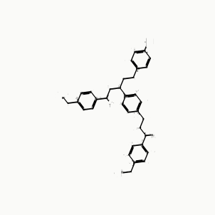 CCc1ccc(CCC(CC(Cl)c2ccc(CCl)cc2)c2ccc(CCC(Cl)c3ccc(CCl)cc3)cc2)cc1